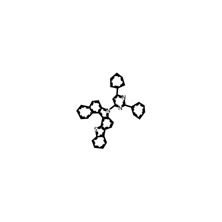 c1ccc(-c2cc(-n3c4ccc5ccccc5c4c4c5sc6ccccc6c5ccc43)nc(-c3ccccc3)n2)cc1